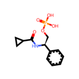 O=C(N[C@@H](COP(=O)(O)O)c1ccccc1)C1CC1